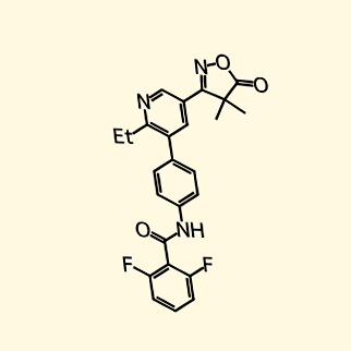 CCc1ncc(C2=NOC(=O)C2(C)C)cc1-c1ccc(NC(=O)c2c(F)cccc2F)cc1